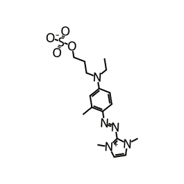 CCN(CCCOS(=O)(=O)[O-])c1ccc(N=Nc2n(C)cc[n+]2C)c(C)c1